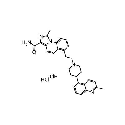 Cc1ccc2c(C3CCN(CCc4cccc5c4ccc4c(C(N)=O)nc(C)n45)CC3)cccc2n1.Cl.Cl